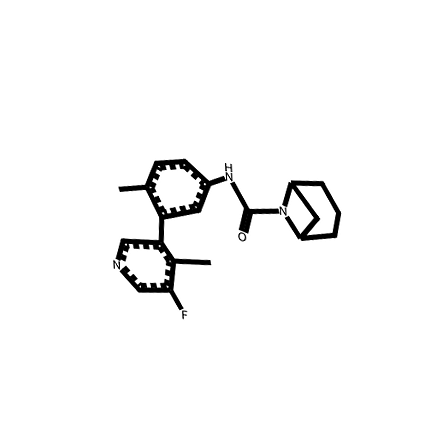 Cc1ccc(NC(=O)N2C3CCCC2C3)cc1-c1cncc(F)c1C